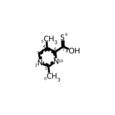 Cc1ncc(C)c(C(O)=S)n1